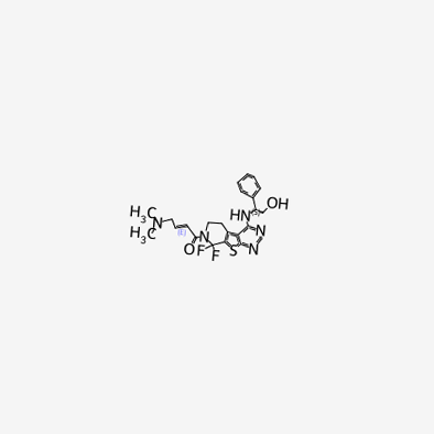 CN(C)C/C=C/C(=O)N1CCc2c(sc3ncnc(N[C@H](CO)c4ccccc4)c23)C1(F)F